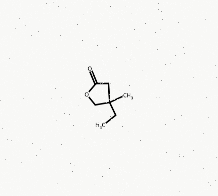 CCC1(C)[CH]C(=O)OC1